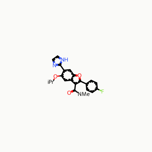 CNC(=O)c1c(-c2ccc(F)cc2)oc2cc(-c3ncc[nH]3)c(OC(C)C)cc12